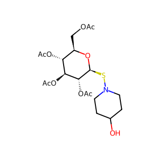 CC(=O)OC[C@H]1O[C@@H](SN2CCC(O)CC2)[C@H](OC(C)=O)[C@@H](OC(C)=O)[C@@H]1OC(C)=O